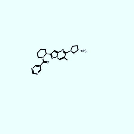 Cc1cn2nc([C@@H]3CCCCN3C(=O)c3cncnc3)cc2nc1N1CC[C@H](N)C1